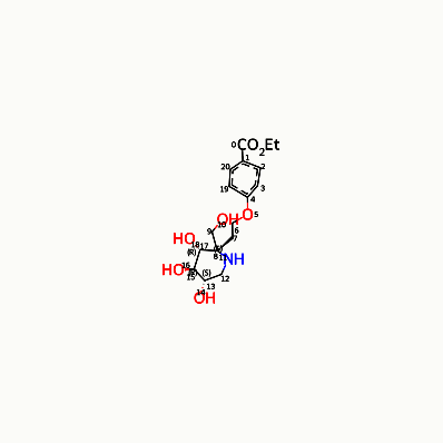 CCOC(=O)c1ccc(OCC[C@@]2(CO)NC[C@H](O)[C@@H](O)[C@@H]2O)cc1